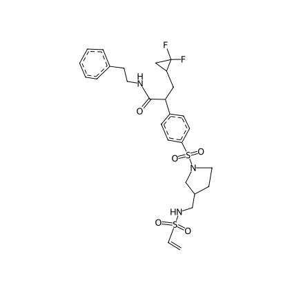 C=CS(=O)(=O)NCC1CCN(S(=O)(=O)c2ccc(C(CC3CC3(F)F)C(=O)NCCc3ccccc3)cc2)C1